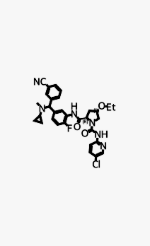 CCO[C@@H]1C[C@H](C(=O)Nc2cc(C(c3cccc(C#N)c3)N(C)C3CC3)ccc2F)N(C(=O)Nc2ccc(Cl)cn2)C1